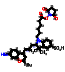 CC(C)(C)c1cc(/C=C/C=C2/N(CCCCCC(=O)ON3C(=O)CCC3=O)c3ccc(S(=O)(=O)O)cc3C2(C)C)c2ccc(=N)cc-2o1